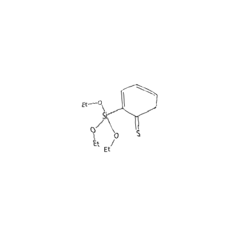 CCO[Si](OCC)(OCC)C1=CC=CCC1=S